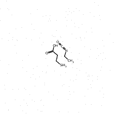 CCN=C=O.O=C(O)CC[SiH3]